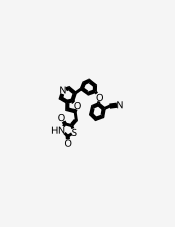 N#Cc1ccccc1Oc1cccc(-c2cncc3cc(C=C4SC(=O)NC4=O)oc23)c1